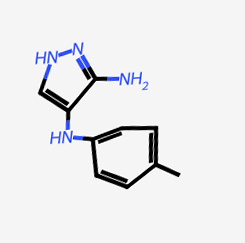 Cc1ccc(Nc2c[nH]nc2N)cc1